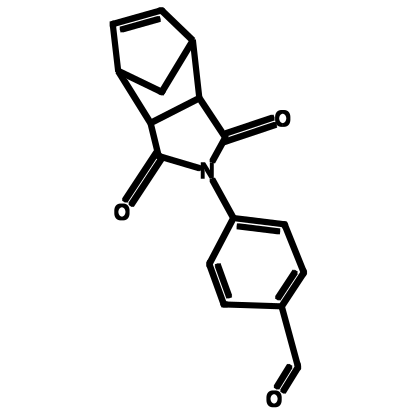 O=Cc1ccc(N2C(=O)C3C4C=CC(C4)C3C2=O)cc1